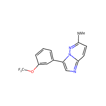 CNc1ccc2ncc(-c3cccc(OC(F)(F)F)c3)n2n1